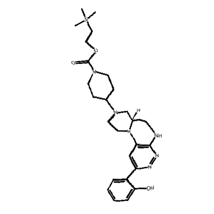 C[Si](C)(C)CCOC(=O)N1CCC(N2CCN3c4cc(-c5ccccc5O)nnc4NC[C@H]3C2)CC1